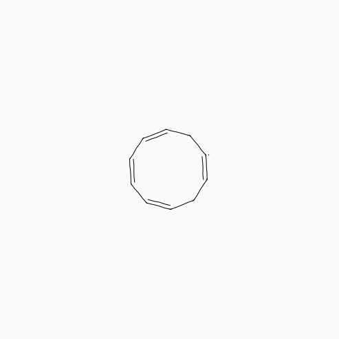 [C]1=CCC=CC=CC=CC1